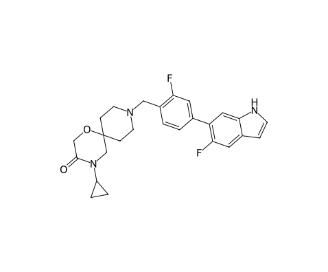 O=C1COC2(CCN(Cc3ccc(-c4cc5[nH]ccc5cc4F)cc3F)CC2)CN1C1CC1